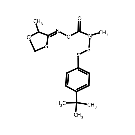 CC1OCSC1=NOC(=O)N(C)SSc1ccc(C(C)(C)C)cc1